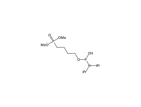 COP(=O)(CCCCOP(O)N(C(C)C)C(C)C)OC